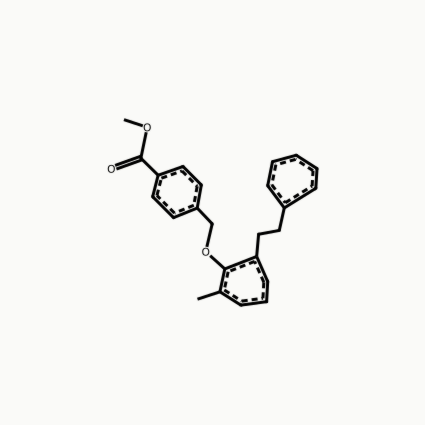 COC(=O)c1ccc(COc2c(C)cccc2CCc2ccccc2)cc1